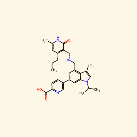 CCCc1cc(C)[nH]c(=O)c1CNCc1cc(-c2ccc(C(=O)O)nc2)cc2c1c(C)cn2C(C)C